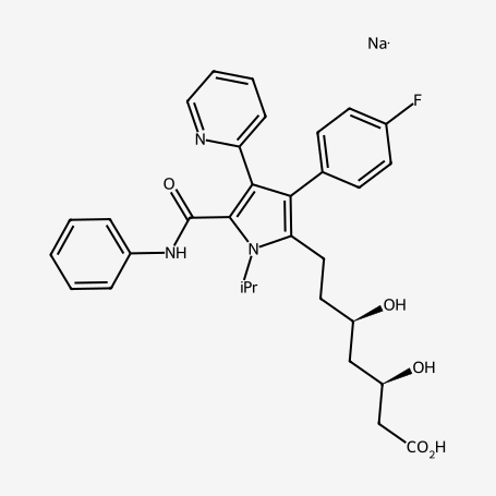 CC(C)n1c(CC[C@@H](O)C[C@@H](O)CC(=O)O)c(-c2ccc(F)cc2)c(-c2ccccn2)c1C(=O)Nc1ccccc1.[Na]